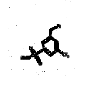 CNS(=O)(=O)c1cc(CBr)cc(C(F)(F)F)c1